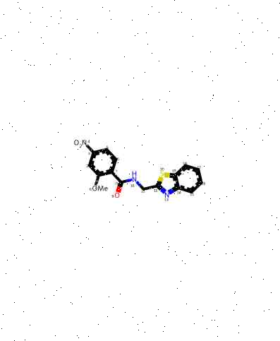 COc1cc([N+](=O)[O-])ccc1C(=O)NCc1nc2ccccc2s1